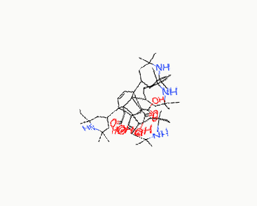 CC1(C)CC(C23C=CC(C4CC(C)(C)NC(C)(C)C4)(C(C(=O)O)C2C(=O)O)C(C(=O)O)(C2CC(C)(C)NC(C)(C)C2)C3(C(=O)O)C2CC(C)(C)NC(C)(C)C2)CC(C)(C)N1